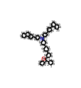 c1ccc(-c2c(-c3cccc(-c4ccc(-c5ccc(N(c6ccc(-c7ccc(-c8cccc9ccccc89)cc7)cc6)c6ccc(-c7ccc8c(ccc9ccccc98)c7)cc6)cc5)cc4)c3)oc3ccccc23)cc1